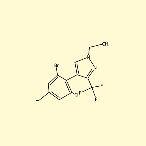 CCn1cc(-c2c(Cl)cc(F)cc2Br)c(C(F)(F)F)n1